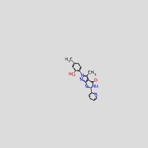 Cc1ccc(-n2nc3nc(-c4ccccn4)[nH]c(=O)c3c2C)c(O)c1